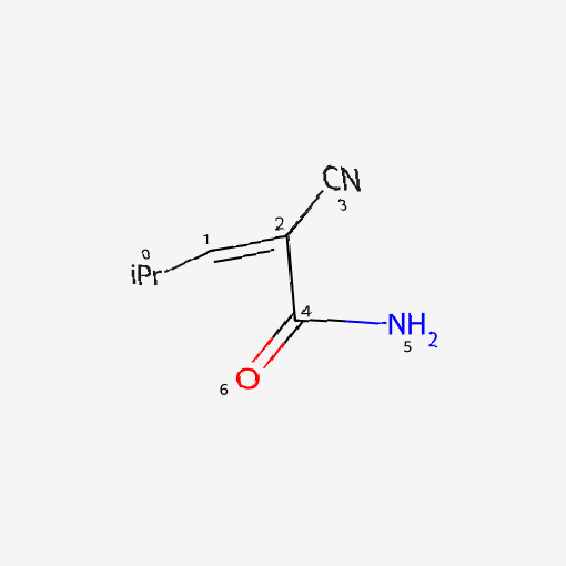 CC(C)C=C(C#N)C(N)=O